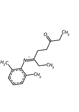 CCC(=O)CC/C(CC)=N/c1c(C)cccc1C